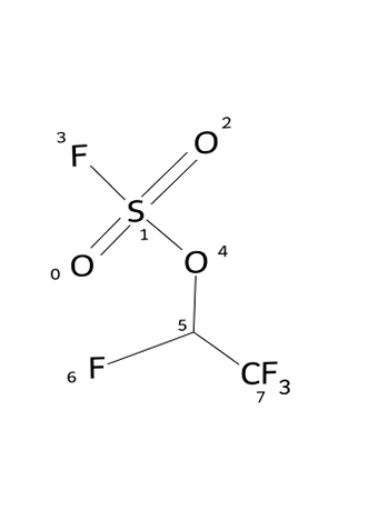 O=S(=O)(F)OC(F)C(F)(F)F